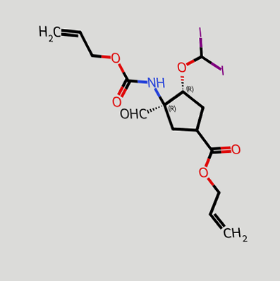 C=CCOC(=O)N[C@]1(C=O)CC(C(=O)OCC=C)C[C@H]1OC(I)I